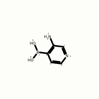 Nc1cnccc1B(O)O